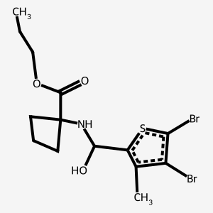 CCCOC(=O)C1(NC(O)c2sc(Br)c(Br)c2C)CCC1